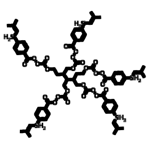 CC(C)=C[SiH2]c1ccc(C(=O)OOC(=O)OCCC(COC(=O)OOC(=O)c2ccc([SiH2]C=C(C)C)cc2)C(COC(=O)OOC(=O)c2ccc([SiH2]C=C(C)C)cc2)C(CCOC(=O)OOC(=O)c2ccc([SiH2]C=C(C)C)cc2)COC(=O)OOC(=O)c2ccc([SiH2]C=C(C)C)cc2)cc1